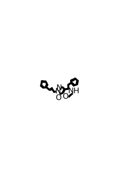 O=c1c2c(cnn1CC=Cc1ccccc1)C(Cc1ccccc1)NCCO2